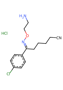 Cl.N#CCCCCC(=NOCCN)c1ccc(Cl)cc1